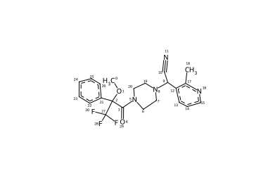 COC(C(=O)N1CCN(C(C#N)c2cccnc2C)CC1)(c1ccccc1)C(F)(F)F